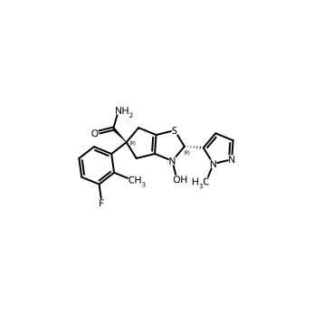 Cc1c(F)cccc1[C@]1(C(N)=O)CC2=C(C1)N(O)[C@@H](c1ccnn1C)S2